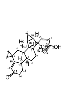 C[C@]12CC[C@H]3[C@@H](CC4(CC4)C4=CC(=O)CC[C@@H]43)[C@@H]1[C@H]1C[C@H]1[C@@]2(O)/C=C\C(=O)O